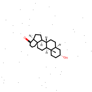 C[C@]12CC[C@@H](O)C[C@@H]1CC[C@@H]1[C@@H]2CC[C@@]23CCCC(=O)[C@H]2CC[C@@H]13